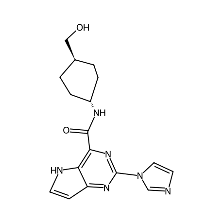 O=C(N[C@H]1CC[C@H](CO)CC1)c1nc(-n2ccnc2)nc2cc[nH]c12